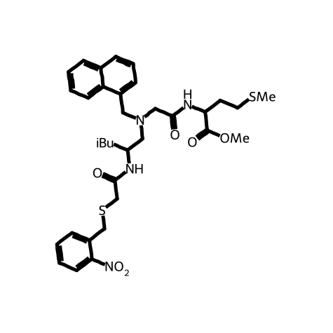 CCC(C)C(CN(CC(=O)NC(CCSC)C(=O)OC)Cc1cccc2ccccc12)NC(=O)CSCc1ccccc1[N+](=O)[O-]